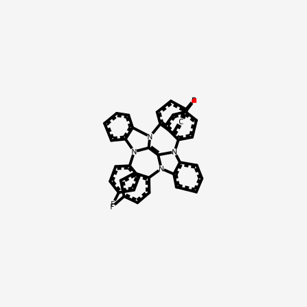 Fc1ccc(N2C(=C3N(c4ccc(F)cc4)c4ccccc4N3c3ccc(F)cc3)N(c3ccc(F)cc3)c3ccccc32)cc1